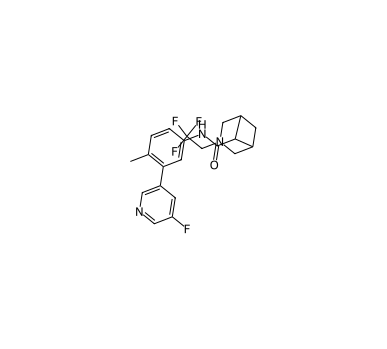 Cc1ccc(NC(=O)C2C3CC2CN(CC(F)(F)F)C3)cc1-c1cncc(F)c1